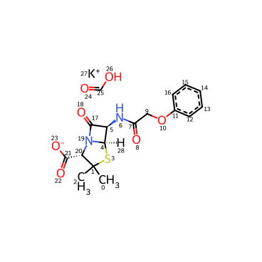 CC1(C)S[C@@H]2[C@H](NC(=O)COc3ccccc3)C(=O)N2[C@H]1C(=O)[O-].O=CO.[K+]